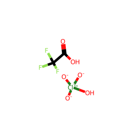 O=C(O)C(F)(F)F.[O-][Cl+3]([O-])([O-])O